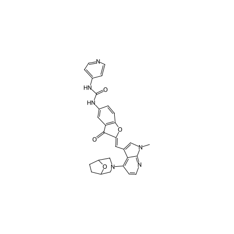 Cn1cc(/C=C2\Oc3ccc(NC(=O)Nc4ccncc4)cc3C2=O)c2c(N3CC4CCC(C3)O4)ccnc21